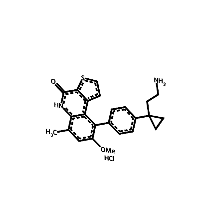 COc1cc(C)c2[nH]c(=O)c3sccc3c2c1-c1ccc(C2(CCN)CC2)cc1.Cl